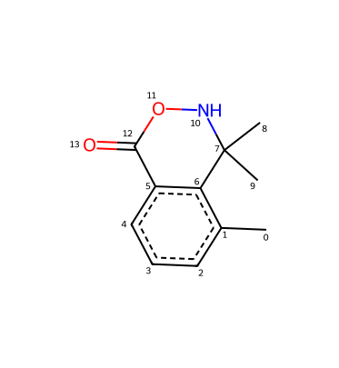 Cc1cccc2c1C(C)(C)NOC2=O